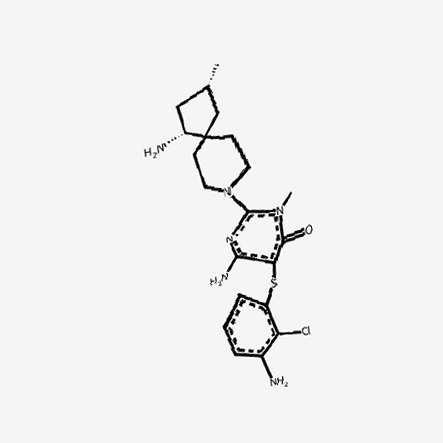 C[C@H]1C[C@@H](N)C2(CCN(c3nc(N)c(Sc4cccc(N)c4Cl)c(=O)n3C)CC2)C1